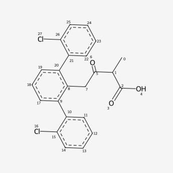 CC(C(=O)O)C(=O)Cc1c(-c2ccccc2Cl)cccc1-c1ccccc1Cl